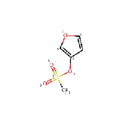 O=S(=O)(Oc1ccoc1)C(F)(F)F